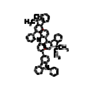 CC1(C)c2ccccc2-c2ccc(-c3ccccc3N(c3ccc(-c4ccc5c(c4)c4ccccc4n5-c4ccccc4)cc3)c3ccccc3-c3cccc4c3-c3ccccc3C4(C)C)cc21